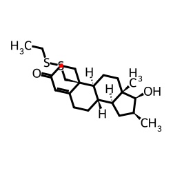 CCSSC[C@]12CCC(=O)C=C1CC[C@@H]1[C@@H]2CC[C@]2(C)[C@@H](O)[C@@H](C)C[C@@H]12